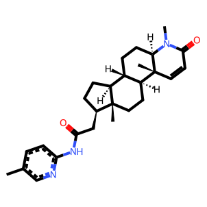 Cc1ccc(NC(=O)C[C@H]2CC[C@H]3[C@@H]4CC[C@H]5N(C)C(=O)C=C[C@]5(C)[C@H]4CC[C@]23C)nc1